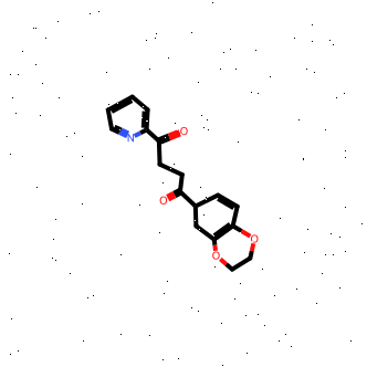 O=C(CCC(=O)C1C=CC2=C(C1)OCCO2)c1ccccn1